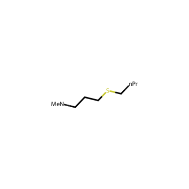 CCCCSCCCNC